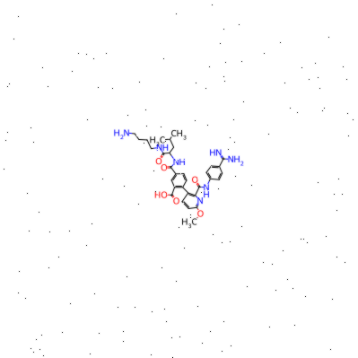 COc1ccc(-c2ccc(C(=O)NC(CC(C)C)C(=O)NCCCCN)cc2C(=O)O)c(C(=O)Nc2ccc(C(=N)N)cc2)n1